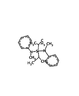 CC(C)[Si](C(C)C)(N(C)c1ccccc1)N(C)c1ccccc1